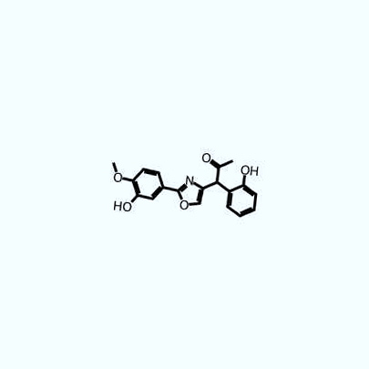 COc1ccc(-c2nc(C(C(C)=O)c3ccccc3O)co2)cc1O